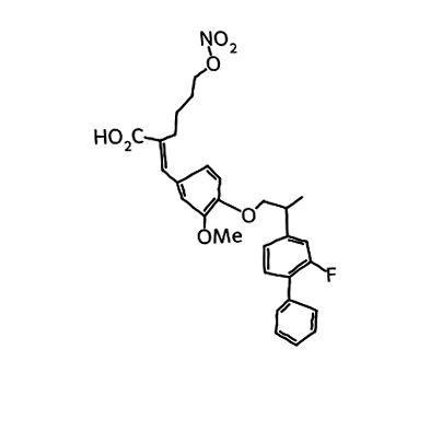 COc1cc(/C=C(\CCCCO[N+](=O)[O-])C(=O)O)ccc1OCC(C)c1ccc(-c2ccccc2)c(F)c1